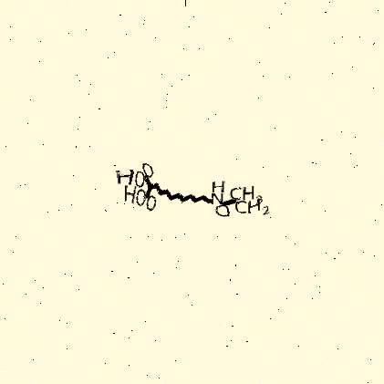 C=C(C)C(=O)NCCCCCCCCCCC(C(=O)O)C(=O)O